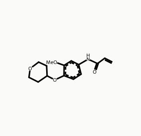 C=CC(=O)Nc1ccc(OC2CCOCC2)c(OC)c1